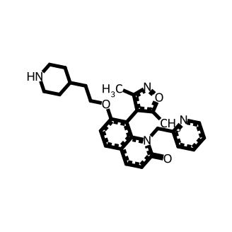 Cc1noc(C)c1-c1c(OCCC2CCNCC2)ccc2ccc(=O)n(Cc3ccccn3)c12